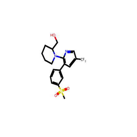 CS(=O)(=O)c1cccc(-c2cc(C(F)(F)F)cnc2N2CCCCC2CO)c1